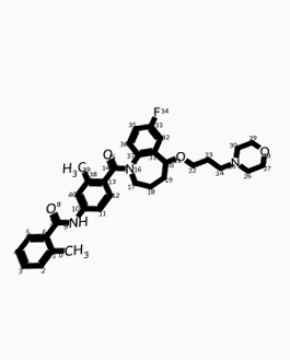 Cc1ccccc1C(=O)Nc1ccc(C(=O)N2CCCC(OCCCN3CCOCC3)c3cc(F)ccc32)c(C)c1